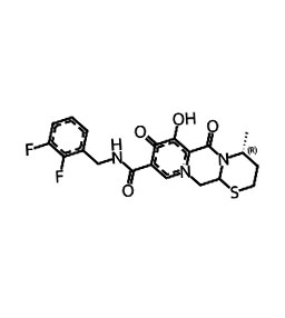 C[C@@H]1CCSC2Cn3cc(C(=O)NCc4cccc(F)c4F)c(=O)c(O)c3C(=O)N21